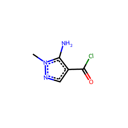 Cn1ncc(C(=O)Cl)c1N